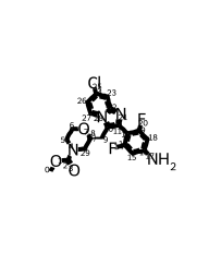 COC(=O)N1CCO[C@@H](Cc2c(-c3c(F)cc(N)cc3F)nc3cc(Cl)ccn23)C1